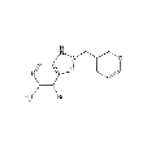 Cc1ncc2[nH][n+](CC3CC=COC3)cc2c1Br